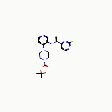 C=C(Nc1cnccc1N1CCN(C(=O)OC(C)(C)C)CC1)c1ccnc(Cl)n1